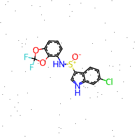 [O-][S+](Nc1cccc2c1OC(F)(F)O2)c1c[nH]c2cc(Cl)ccc12